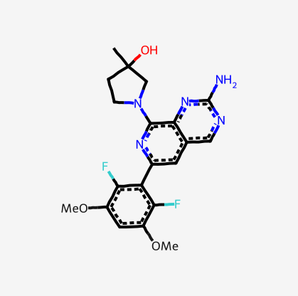 COc1cc(OC)c(F)c(-c2cc3cnc(N)nc3c(N3CCC(C)(O)C3)n2)c1F